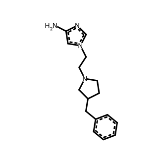 Nc1cn(CCN2CCC(Cc3ccccc3)C2)cn1